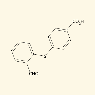 O=Cc1ccccc1Sc1ccc(C(=O)O)cc1